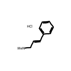 CNC/C=C/c1ccccc1.Cl